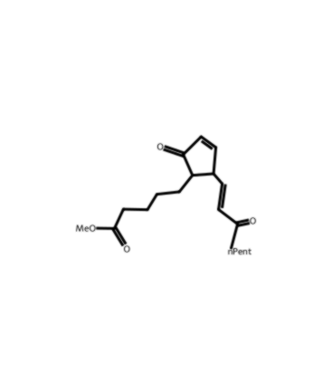 CCCCCC(=O)C=CC1C=CC(=O)C1CCCCC(=O)OC